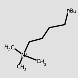 [CH2][N+](C)(C)CCCCCCCC